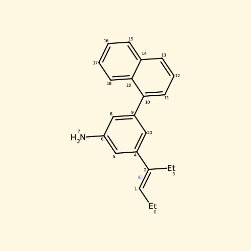 CC/C=C(\CC)c1cc(N)cc(-c2cccc3ccccc23)c1